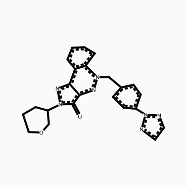 O=c1c2nn(Cc3ccc(-n4nccn4)cc3)c3ccccc3c-2nn1C1CCCOC1